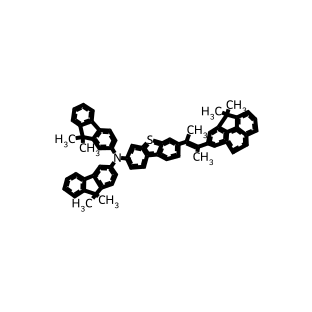 C/C(=C(/C)c1ccc2c(c1)sc1cc(N(c3ccc4c(c3)-c3ccccc3C4(C)C)c3ccc4c(c3)C(C)(C)c3ccccc3-4)ccc12)c1cc2c3c(ccc4cccc(c43)C2(C)C)c1